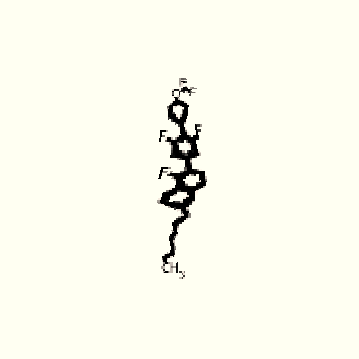 CCCCCCCc1ccc2c(F)c(-c3cc(F)c(-c4ccc(OC(F)F)cc4)c(F)c3)ccc2c1